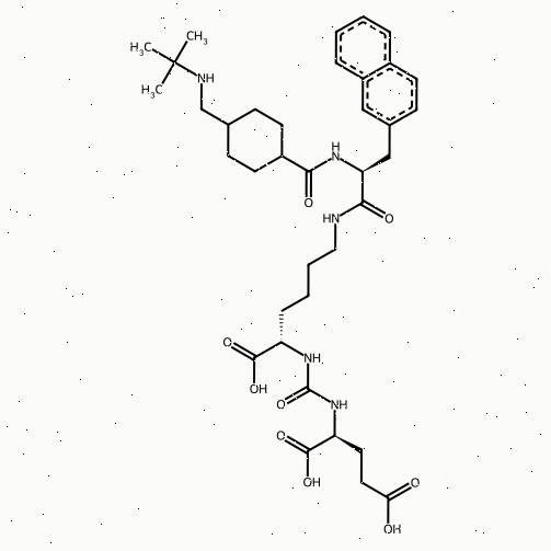 CC(C)(C)NCC1CCC(C(=O)N[C@@H](Cc2ccc3ccccc3c2)C(=O)NCCCC[C@H](NC(=O)N[C@@H](CCC(=O)O)C(=O)O)C(=O)O)CC1